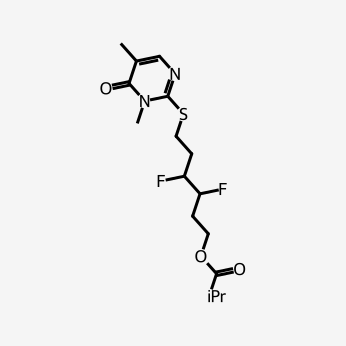 Cc1cnc(SCCC(F)C(F)CCOC(=O)C(C)C)n(C)c1=O